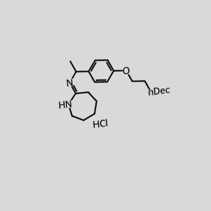 CCCCCCCCCCCCOc1ccc(C(C)/N=C2\CCCCCN2)cc1.Cl